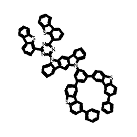 c1ccc(-c2ccc3sc4ccc(-c5cc(-c6ccc7sc8ccc(-c9ccccc9)cc8c7c6)cc(-n6c7ccccc7c7cc8c(cc76)c6ccccc6n8-c6nc(-c7cccc8c7sc7ccccc78)nc(-c7cccc8c7sc7ccccc78)n6)c5)cc4c3c2)cc1